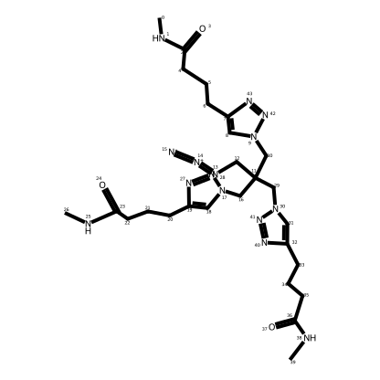 CNC(=O)CCCc1cn(CC(CN=[N+]=[N-])(Cn2cc(CCCC(=O)NC)nn2)Cn2cc(CCCC(=O)NC)nn2)nn1